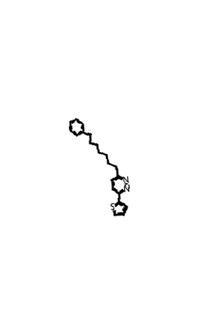 c1ccc(CCCCCCCc2ccc(-c3cccs3)nn2)cc1